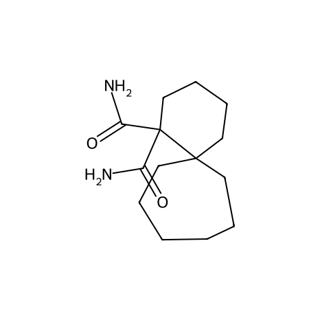 NC(=O)C1(C(N)=O)CCCCC12CCCCCC2